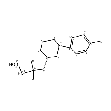 Cc1ccc(N2CCC[C@@H](CC(C)(C)NC(=O)O)C2)cn1